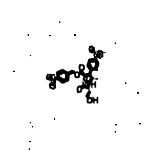 C[C@H]1C(c2ccc([N+](=O)[O-])cc2)=C(C(=O)OCc2ccc([N+](=O)[O-])cc2)N2C(=O)[C@@H](CCO)[C@@H]12